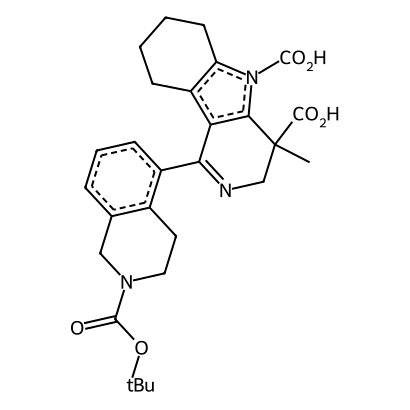 CC(C)(C)OC(=O)N1CCc2c(cccc2C2=NCC(C)(C(=O)O)c3c2c2c(n3C(=O)O)CCCC2)C1